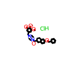 COc1cc(CN2CCN(C(=O)C3=Cc4ccc(OCc5ccccc5)cc4CC3)CC2)cc(OC)c1OC.Cl